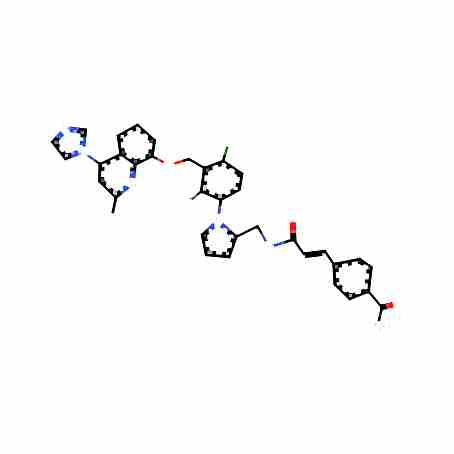 CNC(=O)c1ccc(C=CC(=O)NCc2cccn2-c2ccc(Cl)c(COc3cccc4c(-n5ccnc5)cc(C)nc34)c2Cl)cc1